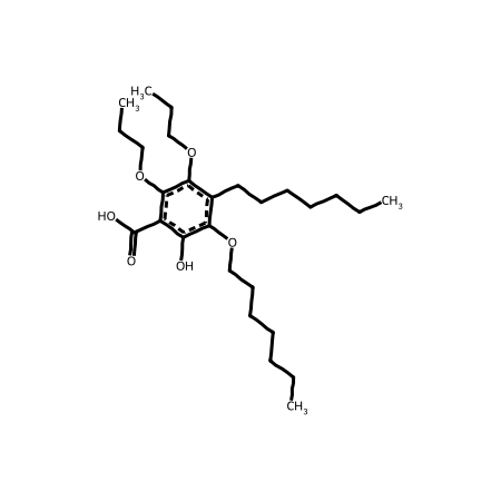 CCCCCCCOc1c(O)c(C(=O)O)c(OCCC)c(OCCC)c1CCCCCCC